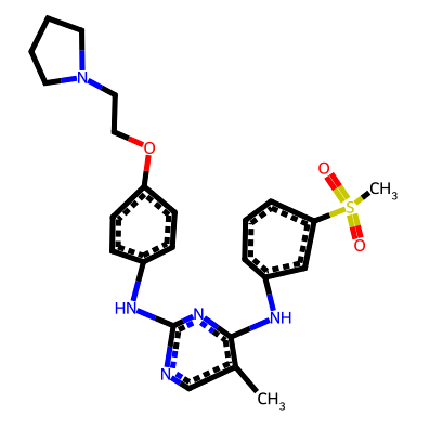 Cc1cnc(Nc2ccc(OCCN3CCCC3)cc2)nc1Nc1cccc(S(C)(=O)=O)c1